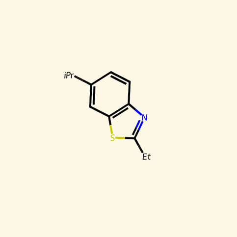 CCc1nc2ccc(C(C)C)cc2s1